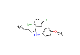 C=CCCC(Nc1ccc(OC)cc1)c1cc(F)ccc1Br